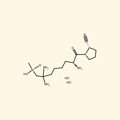 C[N+]([O-])(O)CC(N)(N)CCCC[C@H](N)C(=O)N1CCC[C@H]1C#N.Cl.Cl